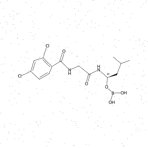 CC(C)C[C@H](NC(=O)CNC(=O)c1ccc(Cl)cc1Cl)OB(O)O